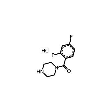 Cl.O=C(c1ccc(F)cc1F)N1CCNCC1